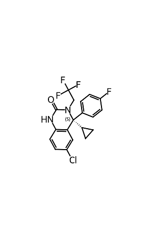 O=C1Nc2ccc(Cl)cc2[C@@](c2ccc(F)cc2)(C2CC2)N1CC(F)(F)F